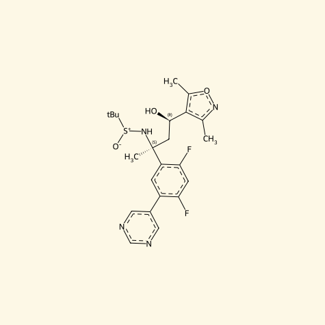 Cc1noc(C)c1[C@H](O)C[C@](C)(N[S+]([O-])C(C)(C)C)c1cc(-c2cncnc2)c(F)cc1F